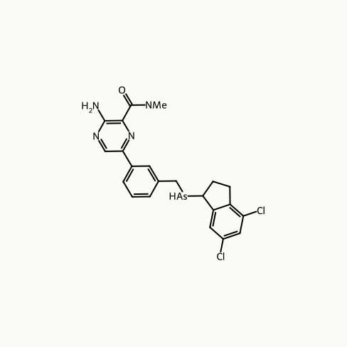 CNC(=O)c1nc(-c2cccc(C[AsH]C3CCc4c(Cl)cc(Cl)cc43)c2)cnc1N